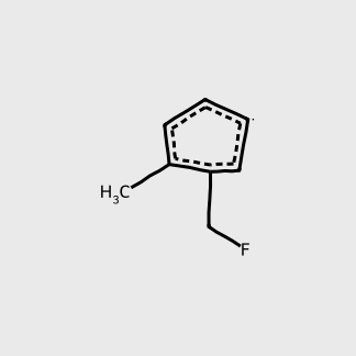 Cc1cc[c]cc1CF